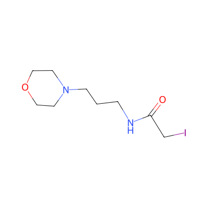 O=C(CI)NCCCN1CCOCC1